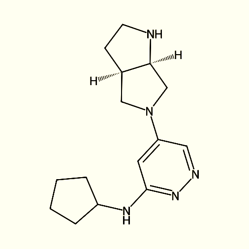 c1nnc(NC2CCCC2)cc1N1C[C@H]2CCN[C@H]2C1